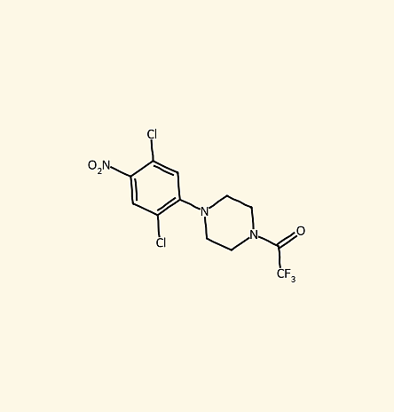 O=C(N1CCN(c2cc(Cl)c([N+](=O)[O-])cc2Cl)CC1)C(F)(F)F